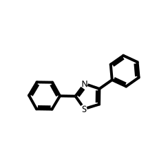 c1ccc(-c2csc(-c3ccccc3)n2)cc1